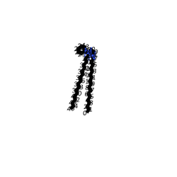 CCCCCCCCCCCCCCCCCCN1C=CN(c2ccccc2)C1CCCCCCCCCCCCCCCCC